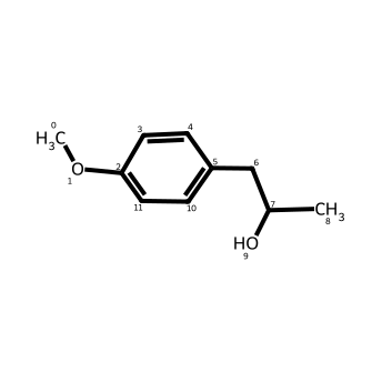 COc1ccc(CC(C)O)cc1